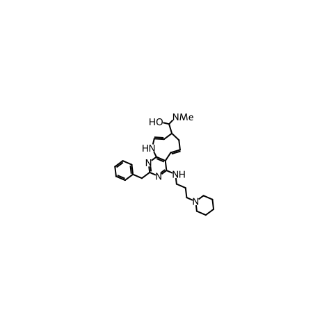 CNC(O)C1/C=C/Nc2nc(Cc3ccccc3)nc(NCCCN3CCCCC3)c2/C=C/C1